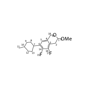 COC1Cc2c(cc(C3CCC(C)CC3)c(F)c2F)CO1